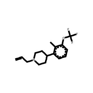 C=CCN1CCC(c2cccc(OC(F)(F)F)c2C)CC1